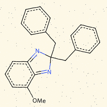 COc1cccc2c1=NC(Cc1ccccc1)(Cc1ccccc1)N=2